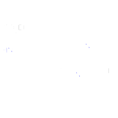 CCOC(=O)Nc1ccc(N(C)C(=NC)C(C)C)cc1